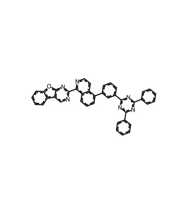 c1ccc(-c2nc(-c3ccccc3)nc(-c3cccc(-c4cccc5c(-c6ncc7c(n6)oc6ccccc67)nccc45)c3)n2)cc1